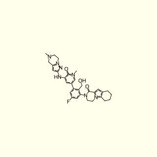 CN1CCn2nc(Nc3cc(-c4cc(F)cc(N5CCn6c(cc7c6CCCC7)C5=O)c4CO)cn(C)c3=O)cc2C1